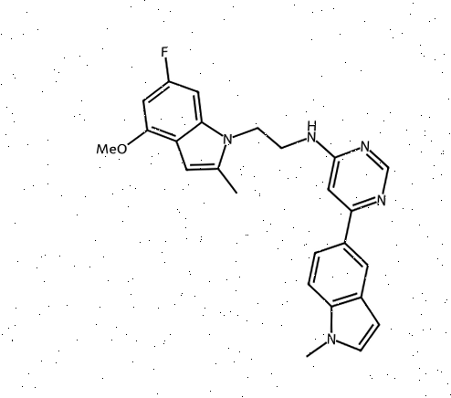 COc1cc(F)cc2c1cc(C)n2CCNc1cc(-c2ccc3c(ccn3C)c2)ncn1